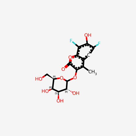 Cc1c(OC2O[C@H](CO)[C@H](O)[C@H](O)[C@H]2O)c(=O)oc2c(F)c(O)c(F)cc12